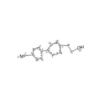 N#Cc1ccc(-c2ccc(CCO)cc2)cc1